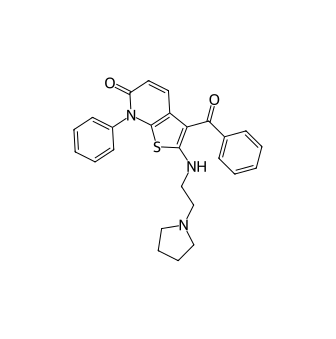 O=C(c1ccccc1)c1c(NCCN2CCCC2)sc2c1ccc(=O)n2-c1ccccc1